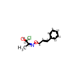 CC(=NOC/C=C/c1ccccc1)C(=O)Cl